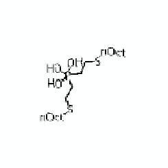 CCCCCCCCSCCP(O)(O)(O)CCSCCCCCCCC